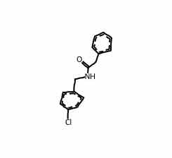 O=C(Cc1ccccc1)NCc1ccc(Cl)cc1